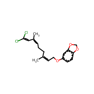 CC(C=C(Cl)Cl)=CCCC(C)=CCOc1ccc2c(c1)OCO2